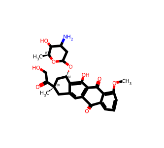 COc1cccc2c1C(=O)c1c(cc3c(c1O)[C@@H](OC1CC(N)C(O)[C@H](C)O1)C[C@](C)(C(=O)CO)C3)C2=O